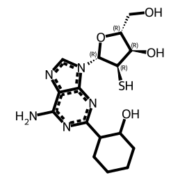 Nc1nc(C2CCCCC2O)nc2c1ncn2[C@@H]1O[C@H](CO)[C@@H](O)[C@H]1S